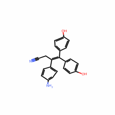 N#CCC(=C(c1ccc(O)cc1)c1ccc(O)cc1)c1ccc(N)cc1